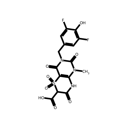 Cn1c2c(c(=O)n(Cc3cc(F)c(O)c(F)c3)c1=O)S(=O)(=O)C(C(=O)O)C(=O)N2